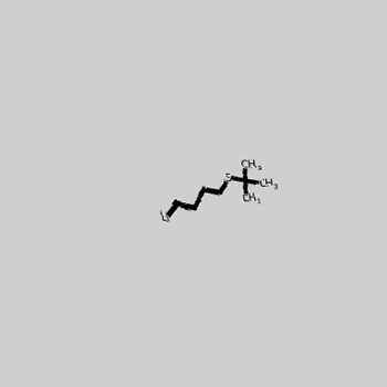 [Li][CH2]CCCSC(C)(C)C